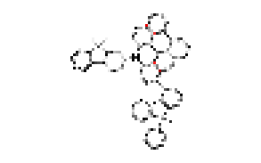 CC1(C)c2ccccc2-c2ccc(N(c3ccc(-c4cccc5c4-c4ccccc4C5(C)c4ccccc4)cc3)c3ccccc3-c3cccc4cccc(-c5ccccc5)c34)cc21